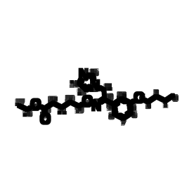 CCCCOc1cccc(C(Cn2ccnc2)=NOCCCCC(=O)OCC)c1